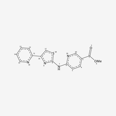 COC(=O)c1ccc(Nc2nc(-c3ccccn3)cs2)nc1